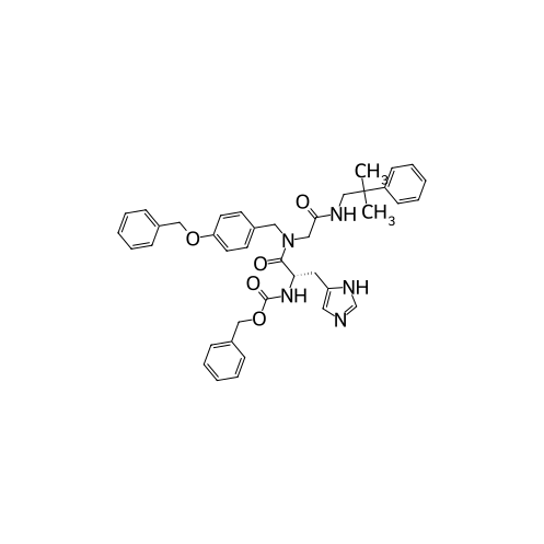 CC(C)(CNC(=O)CN(Cc1ccc(OCc2ccccc2)cc1)C(=O)[C@H](Cc1cnc[nH]1)NC(=O)OCc1ccccc1)c1ccccc1